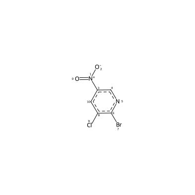 O=[N+]([O-])c1cnc(Br)c(Cl)c1